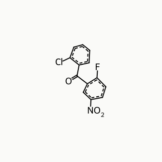 O=C(c1cc([N+](=O)[O-])ccc1F)c1ccccc1Cl